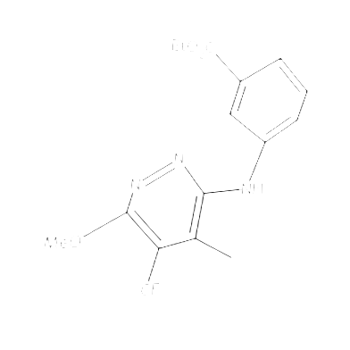 CCOC(=O)c1cccc(Nc2nnc(OC)c(C(F)(F)F)c2C)c1